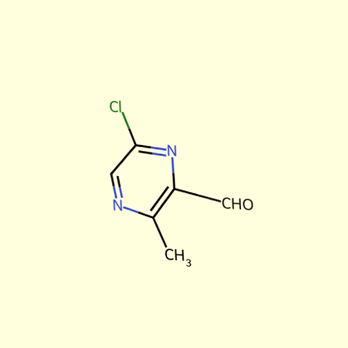 Cc1ncc(Cl)nc1C=O